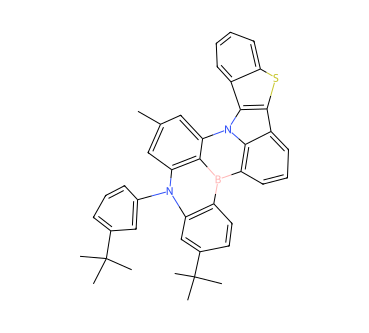 Cc1cc2c3c(c1)-n1c4c(cccc4c4sc5ccccc5c41)B3c1ccc(C(C)(C)C)cc1N2c1cccc(C(C)(C)C)c1